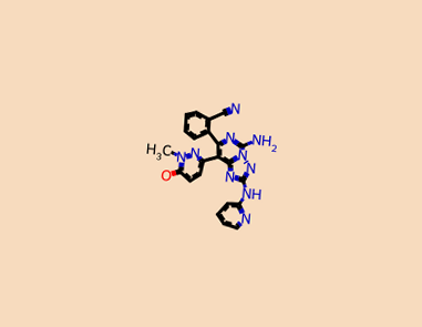 Cn1nc(-c2c(-c3ccccc3C#N)nc(N)n3nc(Nc4ccccn4)nc23)ccc1=O